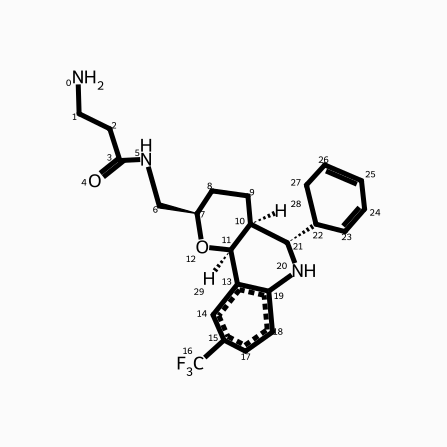 NCCC(=O)NC[C@H]1CC[C@@H]2[C@H](O1)c1cc(C(F)(F)F)ccc1N[C@H]2C1C=CC=CC1